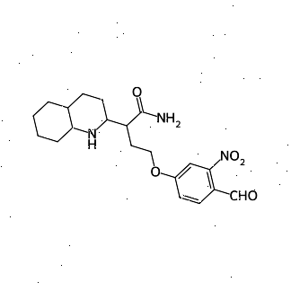 NC(=O)C(CCOc1ccc(C=O)c([N+](=O)[O-])c1)C1CCC2CCCCC2N1